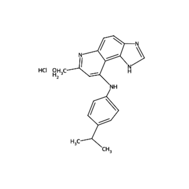 Cc1cc(Nc2ccc(C(C)C)cc2)c2c(ccc3nc[nH]c32)n1.Cl.O